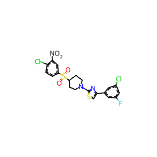 O=[N+]([O-])c1cc(S(=O)(=O)C2CCN(c3nc(-c4cc(F)cc(Cl)c4)cs3)CC2)ccc1Cl